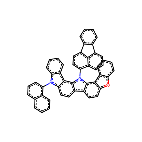 c1ccc2c(c1)-c1cccc3c(-n4c5c(ccc6oc7ccccc7c65)c5ccc6c(c7ccccc7n6-c6cccc7ccccc67)c54)ccc-2c13